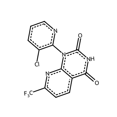 O=c1[nH]c(=O)n(-c2ncccc2Cl)c2nc(C(F)(F)F)ccc12